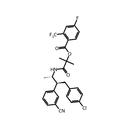 C[C@H](NC(=O)C(C)(C)OC(=O)c1ccc(F)cc1C(F)(F)F)[C@@H](Cc1ccc(Cl)cc1)c1cccc(C#N)c1